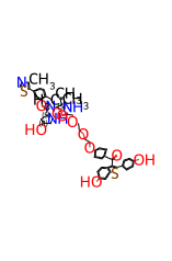 Cc1ncsc1-c1ccc(CN(C(=O)[C@@H]2C[C@@H](O)CN2)C(=O)[C@@H](NC(=O)COCCOCCOc2ccc(C(=O)c3c(-c4ccc(O)cc4)sc4cc(O)ccc34)cc2)C(C)(C)C)cc1